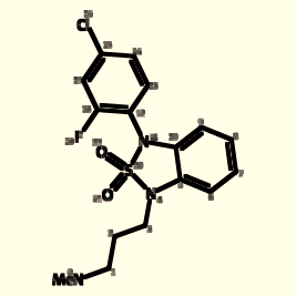 CNCCCN1c2ccccc2N(c2ccc(Cl)cc2F)S1(=O)=O